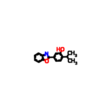 CC(C)c1ccc(-c2nc3ccccc3o2)cc1O